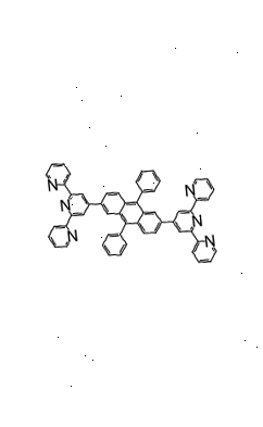 c1ccc(-c2c3ccc(-c4cc(-c5ccccn5)nc(-c5ccccn5)c4)cc3c(-c3ccccc3)c3ccc(-c4cc(-c5ccccn5)nc(-c5ccccn5)c4)cc23)cc1